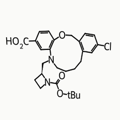 CC(C)(C)OC(=O)N1CC[C@H]1CN1CCCCc2cc(Cl)ccc2COc2ccc(C(=O)O)cc21